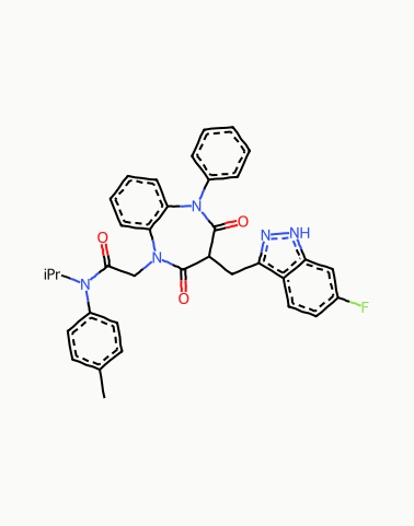 Cc1ccc(N(C(=O)CN2C(=O)C(Cc3n[nH]c4cc(F)ccc34)C(=O)N(c3ccccc3)c3ccccc32)C(C)C)cc1